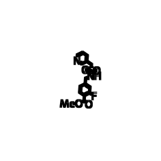 COC(=O)c1ccc(CNS(=O)(=O)Cc2cccnc2)cc1F